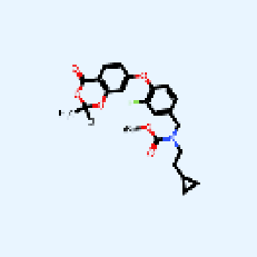 CCCCOC(=O)N(CCC1CC1)Cc1ccc(Oc2ccc3c(c2)OC(C)(C)OC3=O)c(F)c1